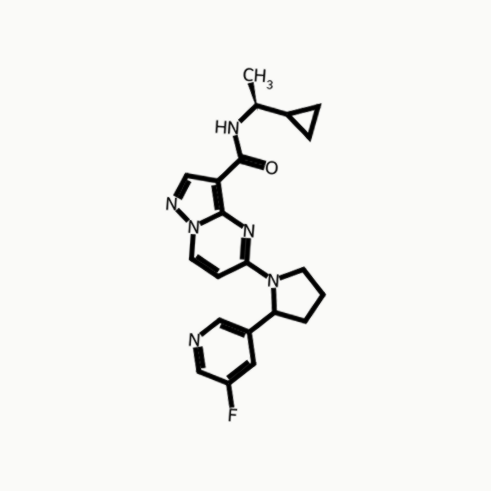 C[C@H](NC(=O)c1cnn2ccc(N3CCCC3c3cncc(F)c3)nc12)C1CC1